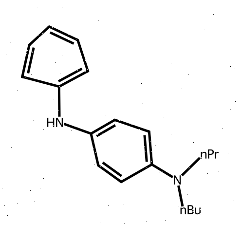 CCCCN(CCC)c1ccc(Nc2ccccc2)cc1